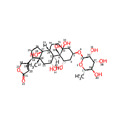 C[C@@H]1O[C@@H](O[C@H]2C[C@H](O)[C@]3(CO)[C@H]4[C@H](O)C[C@]5(C)[C@@H](C6=CC(=O)OC6)CC[C@]5(O)[C@@H]4CC[C@]3(O)C2)[C@H](O)[C@H](O)[C@H]1O